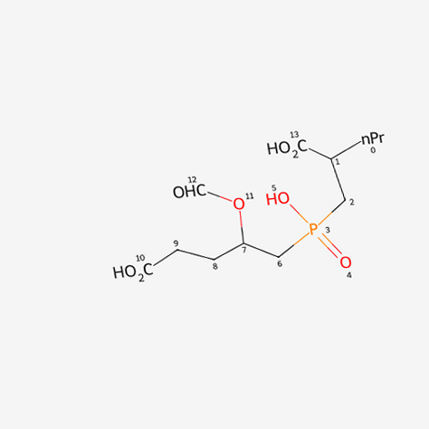 CCCC(CP(=O)(O)CC(CCC(=O)O)OC=O)C(=O)O